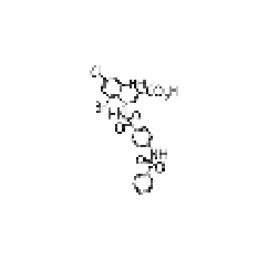 O=C(O)C1=CC(NS(=O)(=O)c2ccc(NS(=O)(=O)c3ccccc3)cc2)c2c(Br)cc(Cl)cc2N1